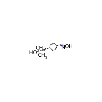 CC(C)(O)C#Cc1ccc(/C=N/O)cc1